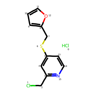 Cl.ClCc1cc(SCc2ccco2)ccn1